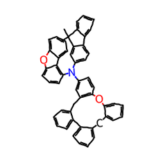 CC1(C)c2ccccc2-c2ccc(N(c3ccc4c(c3)Cc3ccccc3-c3ccccc3Cc3ccccc3O4)c3cccc4oc5ccccc5c34)cc21